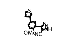 COc1ccc(-c2ccsc2)cc1-c1nn[nH]c1C#N